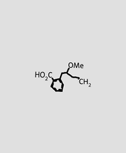 C=CCC(Cc1ccccc1C(=O)O)OC